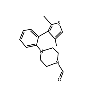 Cc1csc(C)c1-c1ccccc1N1CCN(C=O)CC1